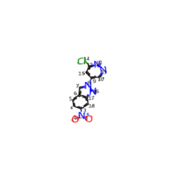 O=[N+]([O-])c1ccc2cn(-c3cnnc(Cl)c3)nc2c1